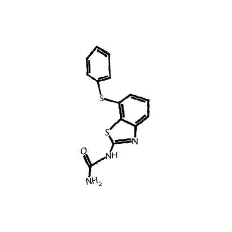 NC(=O)Nc1nc2cccc(Sc3ccccc3)c2s1